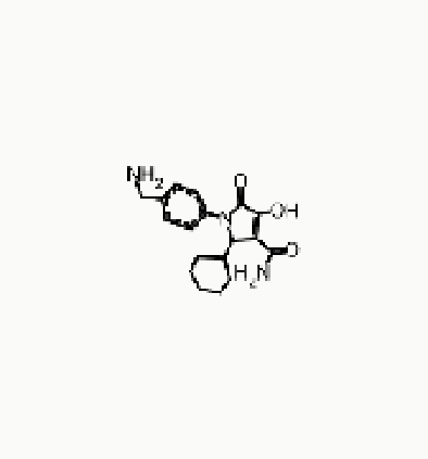 NCc1ccc(N2C(=O)C(O)=C(C(N)=O)C2C2CCCCC2)cc1